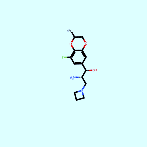 CCCC1COc2cc([C@@H](O)[C@H](N)CN3CCC3)cc(F)c2O1